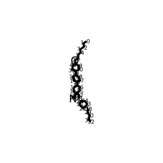 CCCCCCCOc1ccc(-c2ccc(C3CCC(C#N)(CC[C@H]4CC[C@H](CCCCC)CC4)CC3)cc2)cc1